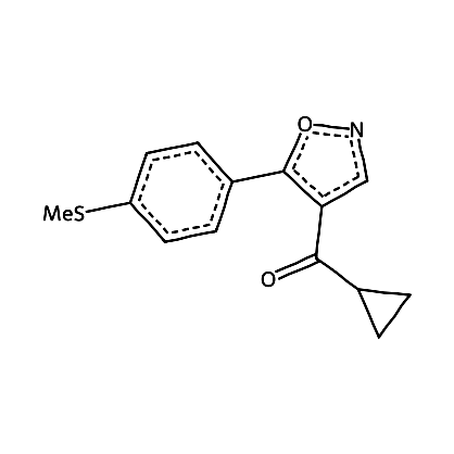 CSc1ccc(-c2oncc2C(=O)C2CC2)cc1